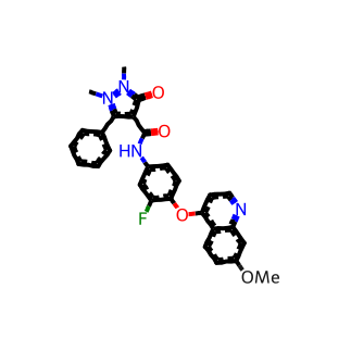 COc1ccc2c(Oc3ccc(NC(=O)c4c(-c5ccccc5)n(C)n(C)c4=O)cc3F)ccnc2c1